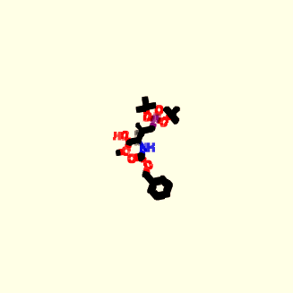 COC(O)[C@@H](NC(=O)OCc1ccccc1)[C@@H](C)CP(=O)(OC(C)(C)C)OC(C)(C)C